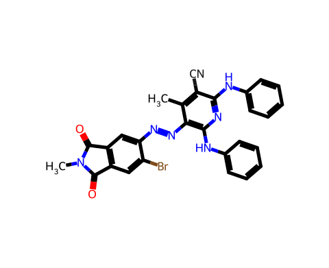 Cc1c(C#N)c(Nc2ccccc2)nc(Nc2ccccc2)c1/N=N/c1cc2c(cc1Br)C(=O)N(C)C2=O